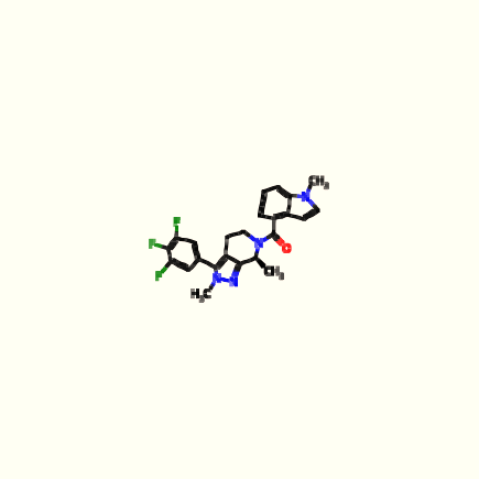 C[C@H]1c2nn(C)c(-c3cc(F)c(F)c(F)c3)c2CCN1C(=O)c1cccc2c1ccn2C